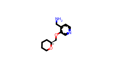 NCc1ccncc1OC[C@@H]1CCCCO1